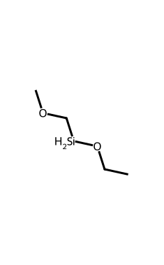 CCO[SiH2]COC